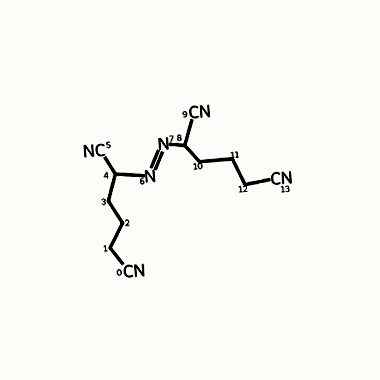 N#CCCCC(C#N)N=NC(C#N)CCCC#N